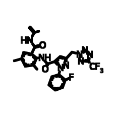 C=C(C)NC(=O)c1cc(C)cc(C)c1NC(=O)c1cc(Cn2nnc(C(F)(F)F)n2)nn1-c1ccccc1F